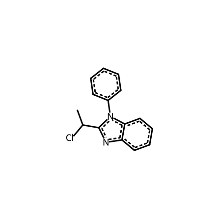 CC(Cl)c1nc2ccccc2n1-c1ccccc1